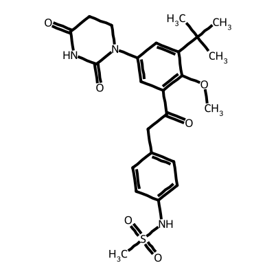 COc1c(C(=O)Cc2ccc(NS(C)(=O)=O)cc2)cc(N2CCC(=O)NC2=O)cc1C(C)(C)C